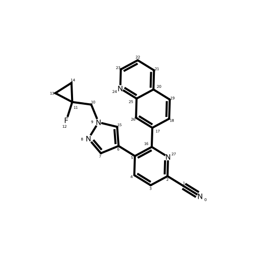 N#Cc1ccc(-c2cnn(CC3(F)CC3)c2)c(-c2ccc3cccnc3c2)n1